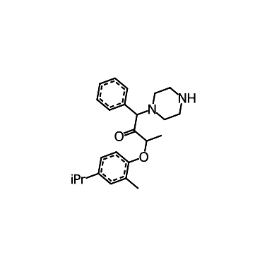 Cc1cc(C(C)C)ccc1OC(C)C(=O)C(c1ccccc1)N1CCNCC1